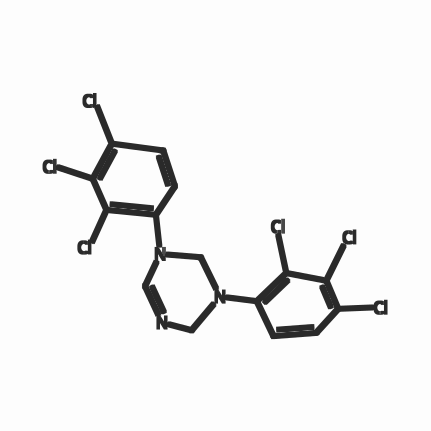 Clc1ccc(N2C=NCN(c3ccc(Cl)c(Cl)c3Cl)C2)c(Cl)c1Cl